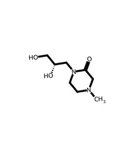 CN1CCN(C[C@H](O)CO)C(=O)C1